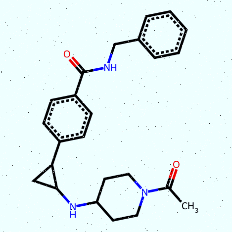 CC(=O)N1CCC(NC2CC2c2ccc(C(=O)NCc3ccccc3)cc2)CC1